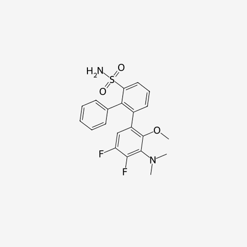 COc1c(-c2cccc(S(N)(=O)=O)c2-c2ccccc2)cc(F)c(F)c1N(C)C